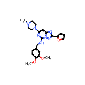 COc1ccc(CNc2nc(N3CCN(C)CC3)cc3nc(-c4ccco4)nn23)cc1OC